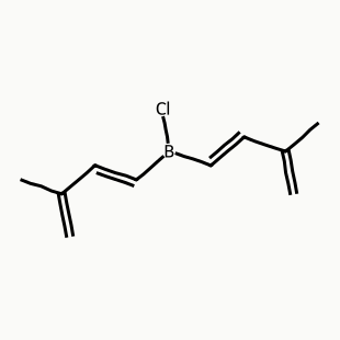 C=C(C)C=CB(Cl)C=CC(=C)C